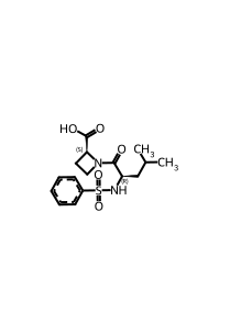 CC(C)C[C@@H](NS(=O)(=O)c1ccccc1)C(=O)N1CC[C@H]1C(=O)O